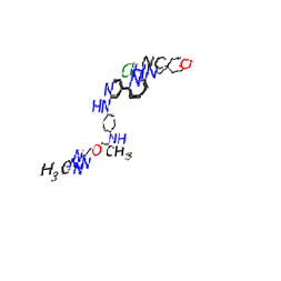 CC(COCc1nnn(C)n1)NC1CCC(Nc2cc(-c3cccc(NCC4(C#N)CCOCC4)n3)c(Cl)cn2)CC1